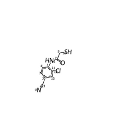 N#Cc1ccc(NC(=O)CS)c(Cl)c1